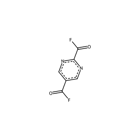 O=C(F)c1cnc(C(=O)F)nc1